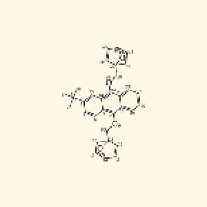 CC(C)(C)c1ccc2c(OCC34C=CC(=CC3)O4)c3ccccc3c(OCC34C=CC(=CC3)O4)c2c1